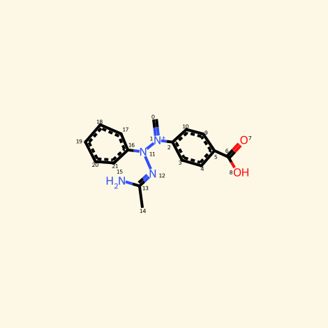 C=[N+](c1ccc(C(=O)O)cc1)N(/N=C(/C)N)c1ccccc1